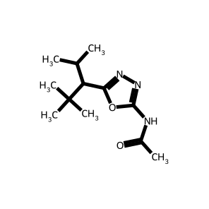 CC(=O)Nc1nnc(C(C(C)C)C(C)(C)C)o1